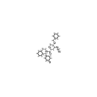 [N-]=[N+]=NC1C[C@H](C(=O)N2CCc3ccccc3[C@@H]2c2ccc(F)cc2)OC[C@@H]1OCc1ccccc1